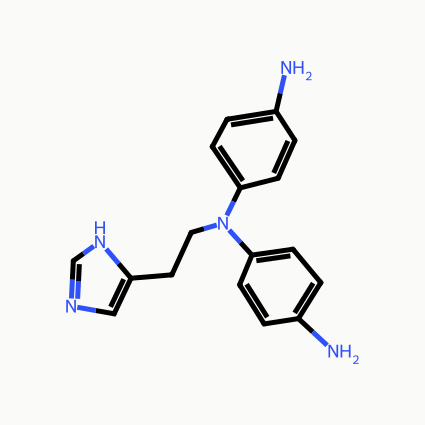 Nc1ccc(N(CCc2cnc[nH]2)c2ccc(N)cc2)cc1